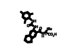 Cc1cc(C)c(NC(=O)Nc2cc3ccccc3cc2C(=O)N[C@H](C(=O)O)C(C)(C)C)c(C)c1